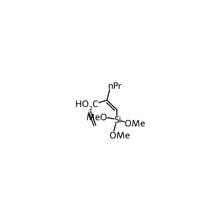 C=C.CCCC(=C[Si](OC)(OC)OC)C(=O)O